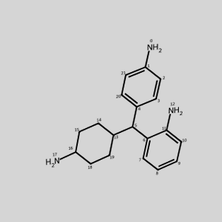 Nc1ccc(C(c2ccccc2N)C2CCC(N)CC2)cc1